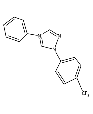 FC(F)(F)c1ccc(-n2c[n+](-c3ccccc3)cn2)cc1